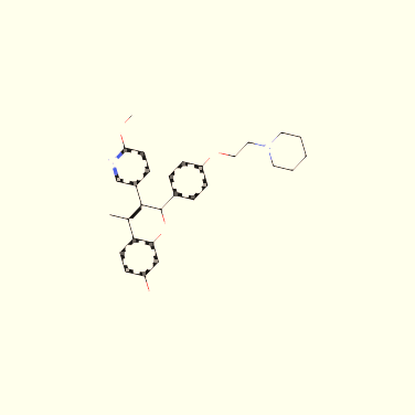 COc1ccc(C2=C(C)c3ccc(O)cc3OC2c2ccc(OCCN3CCCCC3)cc2)cn1